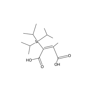 CC(C(=O)O)=C(C(=O)O)[Si](C(C)C)(C(C)C)C(C)C